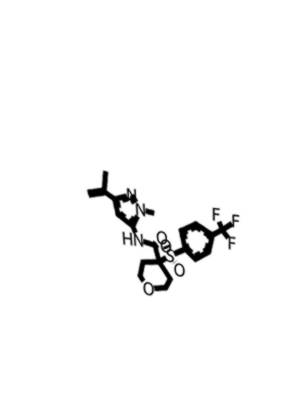 C=C(C)c1cc(NC(=O)C2(S(=O)(=O)c3ccc(C(F)(F)F)cc3)CCOCC2)n(C)n1